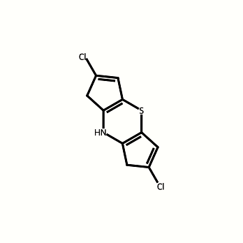 ClC1=CC2=C(C1)NC1=C(C=C(Cl)C1)S2